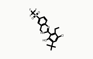 CCc1c(Cl)cc(C(C)(C)C)c(O)c1C1=Nc2ccc(S(=O)(=O)C(F)(F)F)cc2CN1